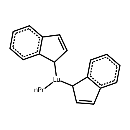 [CH2]C[CH2][Lu]([CH]1C=Cc2ccccc21)[CH]1C=Cc2ccccc21